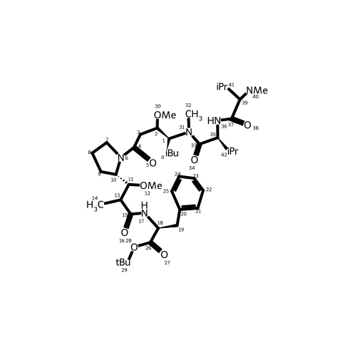 CC[C@H](C)[C@@H](C(CC(=O)N1CCC[C@H]1C(OC)C(C)C(=O)N[C@@H](Cc1ccccc1)C(=O)OC(C)(C)C)OC)N(C)C(=O)[C@@H](NC(=O)C(NC)C(C)C)C(C)C